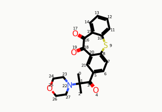 CC(C)(C(=O)c1ccc2sc3ccccc3c(=O)c(=O)c2c1)N1CCOCC1